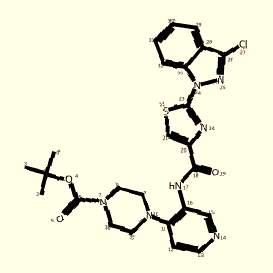 CC(C)(C)OC(=O)N1CCN(c2ccncc2NC(=O)c2csc(-n3nc(Cl)c4ccccc43)n2)CC1